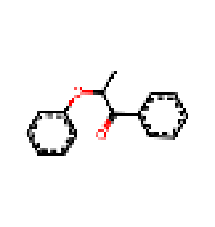 CC(Oc1ccccc1)C(=O)c1ccccc1